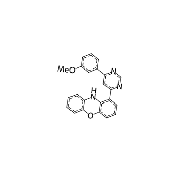 COc1cccc(-c2cc(-c3cccc4c3Nc3ccccc3O4)ncn2)c1